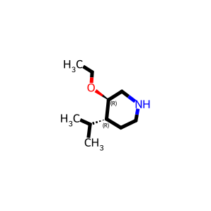 CCO[C@H]1CNCC[C@@H]1C(C)C